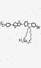 CCCCCCC1(CCCCCC)c2cc(Br)ccc2-c2ccc(-c3cc4sc(-c5ccc(OC)cc5)cc4s3)cc21